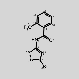 O=C(Nc1nc(Br)ns1)c1ccccc1C(F)(F)F